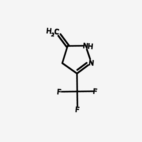 C=C1CC(C(F)(F)F)=NN1